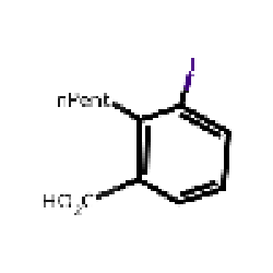 CCCCCc1c(I)cccc1C(=O)O